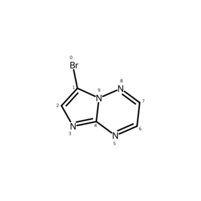 Brc1cnc2nccnn12